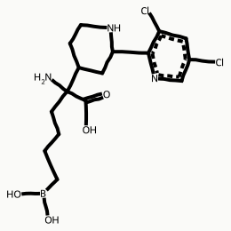 NC(CCCCB(O)O)(C(=O)O)C1CCNC(c2ncc(Cl)cc2Cl)C1